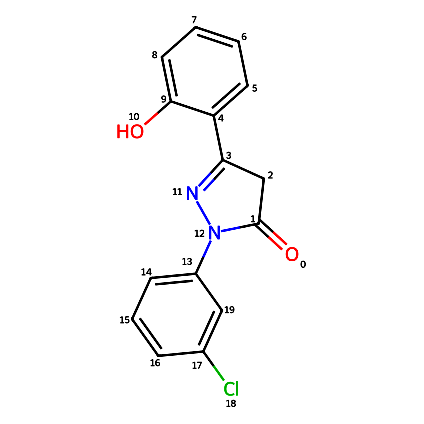 O=C1CC(c2ccccc2O)=NN1c1cccc(Cl)c1